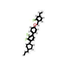 CCCC1CCC(c2ccc(-c3ccc(OCc4ccc(CC)cc4F)cc3)c(F)c2F)CC1